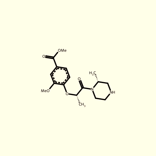 COC(=O)c1ccc(O[C@@H](C)C(=O)N2CCNC[C@H]2C)c(OC)c1